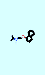 CC(C)NCCOc1cccc2ccccc12